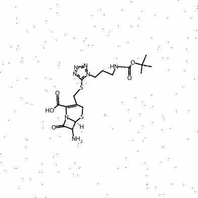 CC(C)(C)OC(=O)NCCCn1nnnc1SCC1=C(C(=O)O)N2C(=O)C(N)[C@@H]2SC1